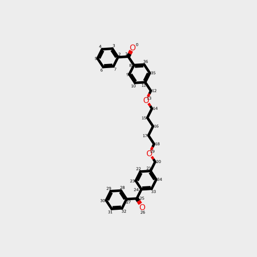 O=C(c1ccccc1)c1ccc(COCCCCCOCc2ccc(C(=O)c3ccccc3)cc2)cc1